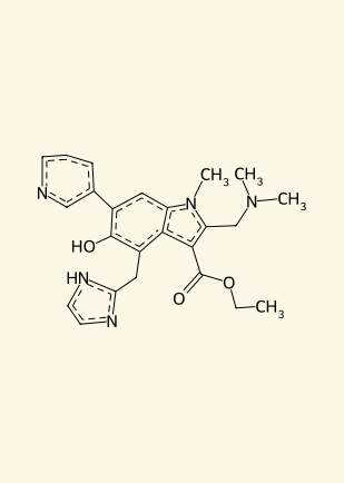 CCOC(=O)c1c(CN(C)C)n(C)c2cc(-c3cccnc3)c(O)c(Cc3ncc[nH]3)c12